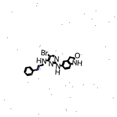 O=C1Cc2cc(Nc3ncc(Br)c(NC/C=C/c4ccccc4)n3)ccc2N1